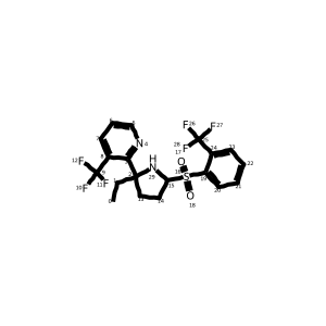 C[CH]C1(c2ncccc2C(F)(F)F)CCC(S(=O)(=O)c2ccccc2C(F)(F)F)N1